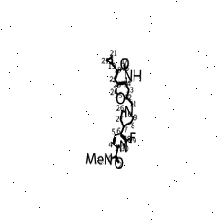 CNC(=O)c1ccc(C2CCN(CC3Cc4[nH]c(=O)c(C5CC5)cc4CO3)CC2)c(F)n1